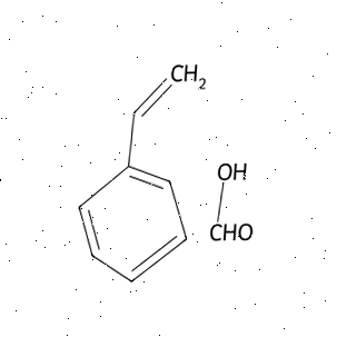 C=Cc1ccccc1.O=CO